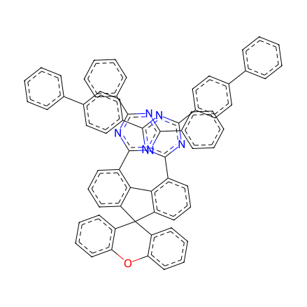 c1ccc(-c2ccc(-c3nc(-c4ccc(-c5ccccc5)cc4)nc(-c4cccc5c4-c4c(-c6nc(-c7ccccc7)nc(-c7ccccc7)n6)cccc4C54c5ccccc5Oc5ccccc54)n3)cc2)cc1